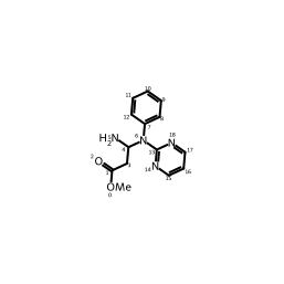 COC(=O)CC(N)N(c1ccccc1)c1ncccn1